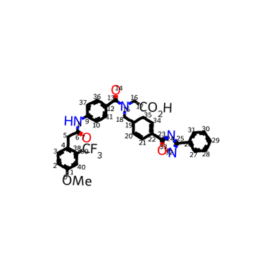 COc1ccc(CC(=O)Nc2ccc(C(=O)N(CC(=O)O)CC3C=CC(c4nc(-c5ccccc5)no4)=CC3)cc2)c(C(F)(F)F)c1